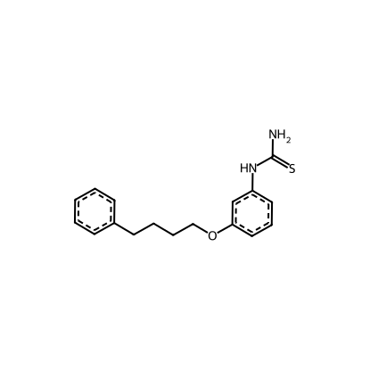 NC(=S)Nc1cccc(OCCCCc2ccccc2)c1